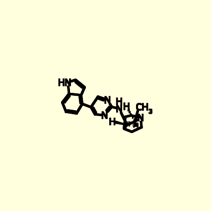 C[C@@H]1[C@@H](Nc2ncc(-c3cccc4[nH]ccc34)cn2)C2CCN1CC2